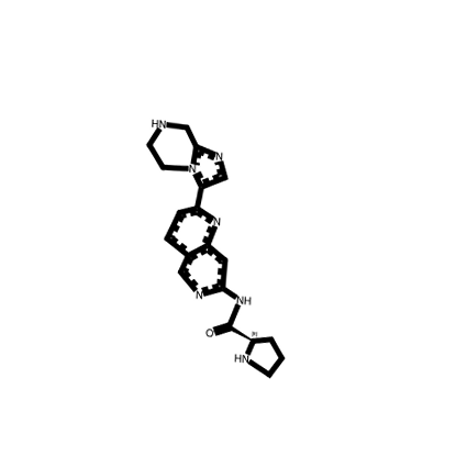 O=C(Nc1cc2nc(-c3cnc4n3CCNC4)ccc2cn1)[C@H]1CCCN1